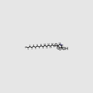 CCCCCCCCCCCCCCCCOC(=O)/C=C\C(=O)O